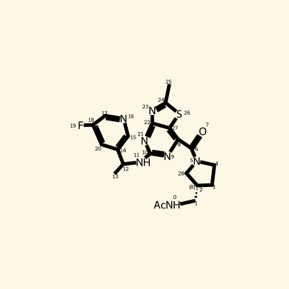 CC(=O)NC[C@H]1CCN(C(=O)c2nc(NC(C)c3cncc(F)c3)nc3nc(C)sc23)C1